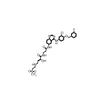 CS(=O)(=O)CCNCC=C(O)C(=O)NCCC(=O)Nc1ccc2ncnc(Nc3ccc(OCc4cccc(F)c4)c(Cl)c3)c2c1